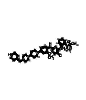 COc1cc(N2CCC(N3CCN(CC4CCNCC4)CC3)CC2)ccc1Nc1ncc(Cl)c(Nc2ccccc2N(C)S(C)(=O)=O)n1